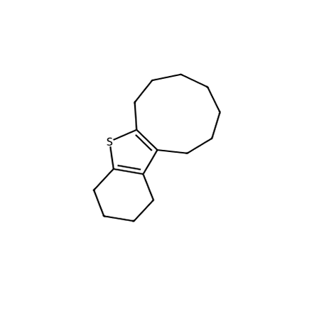 C1CCCc2sc3c(c2CCC1)CCCC3